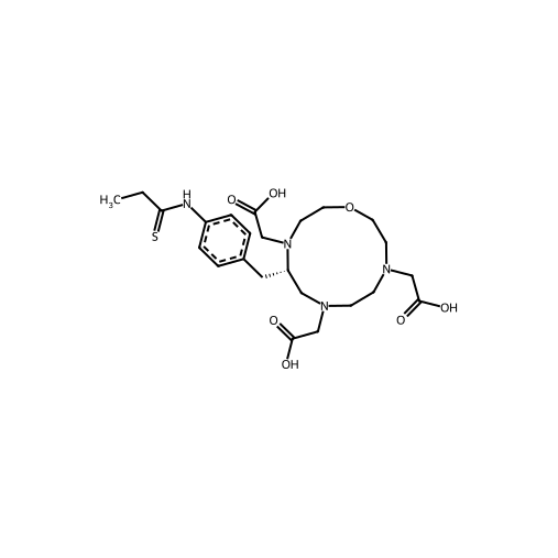 CCC(=S)Nc1ccc(C[C@H]2CN(CC(=O)O)CCN(CC(=O)O)CCOCCN2CC(=O)O)cc1